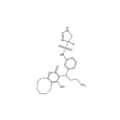 CCCC(c1cccc(NS(=O)(=O)C2(F)CNC=N2)c1)c1c(O)c2c(oc1=O)CCCCCC2